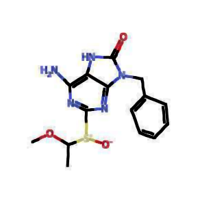 COC(C)[S+]([O-])c1nc(N)c2[nH]c(=O)n(Cc3ccccc3)c2n1